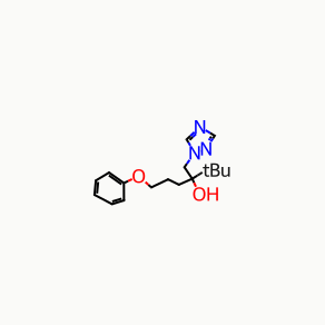 CC(C)(C)C(O)(CCCOc1ccccc1)Cn1cncn1